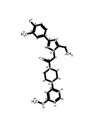 CCc1nc(-c2ccc(F)c(C)c2)nn1CC(=O)N1CCN(c2cc(OC)ncn2)CC1